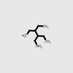 CCC(CC)C(CC)CN